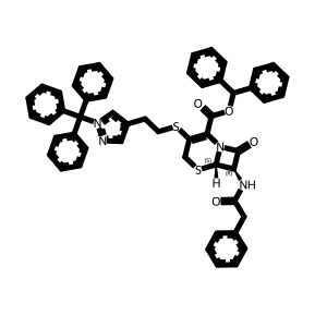 O=C(Cc1ccccc1)N[C@@H]1C(=O)N2C(C(=O)OC(c3ccccc3)c3ccccc3)=C(SCCc3cnn(C(c4ccccc4)(c4ccccc4)c4ccccc4)c3)CS[C@@H]12